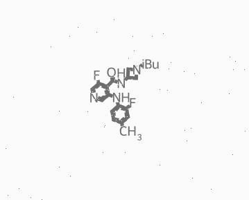 CCC(C)N1CC(NC(=O)c2c(F)cncc2Nc2ccc(C)cc2F)C1